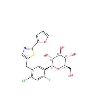 OC[C@H]1O[C@@H](c2cc(Cc3cnc(-c4ccco4)s3)c(Cl)cc2F)[C@H](O)[C@@H](O)[C@@H]1O